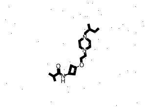 CCC(C)CN1CCN(CCO[C@H]2C[C@H](NC(=O)C(C)C)C2)CC1